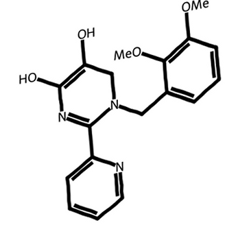 COc1cccc(CN2CC(O)=C(O)N=C2c2ccccn2)c1OC